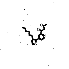 CCCCCCc1ccsc1-c1ccnc(C(=O)CC(C)=O)c1